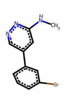 CNc1cc(-c2cccc(Br)c2)cnn1